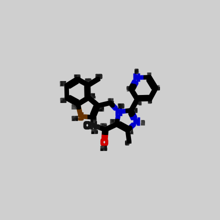 Cc1nc(-c2cccnc2)n(Cc2csc3cccc(C)c23)c1C(=O)N=O